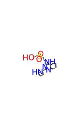 O=S(=O)(CCO)CCNc1nc(-c2ccc[nH]2)nc2ccccc12